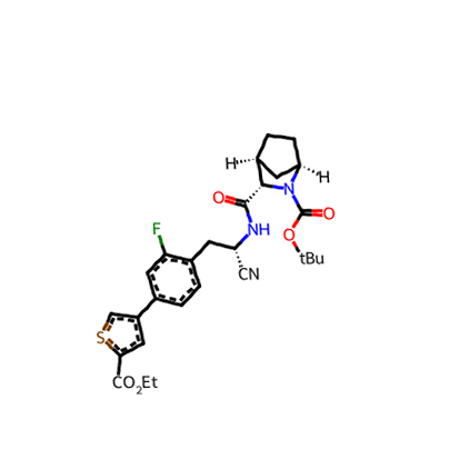 CCOC(=O)c1cc(-c2ccc(C[C@@H](C#N)NC(=O)[C@@H]3[C@H]4CC[C@H](C4)N3C(=O)OC(C)(C)C)c(F)c2)cs1